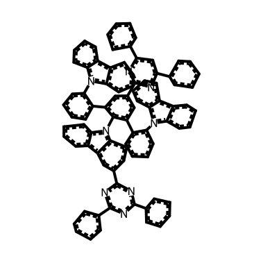 c1ccc(-c2cc(-c3ccccc3)nc(-c3cc(-c4ccccc4-n4c5ccccc5c5ccccc54)c(-n4c5ccccc5c5cc(-c6nc(-c7ccccc7)nc(-c7ccccc7)n6)ccc54)c(-c4ccccc4-n4c5ccccc5c5ccccc54)c3)n2)cc1